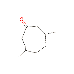 CC1CCC(C)CC(=O)C1